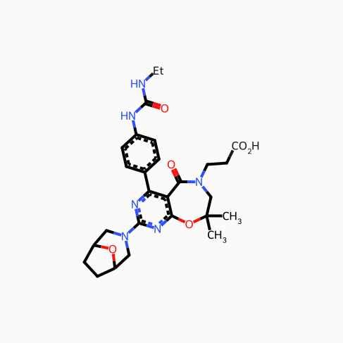 CCNC(=O)Nc1ccc(-c2nc(N3CC4CCC(C3)O4)nc3c2C(=O)N(CCC(=O)O)CC(C)(C)O3)cc1